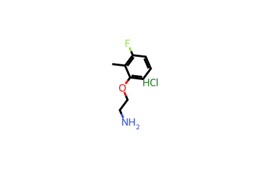 Cc1c(F)cccc1OCCN.Cl